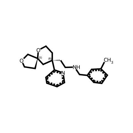 Cc1cccc(CNCC[C@@]2(c3ccccn3)CCO[C@]3(CCOC3)C2)c1